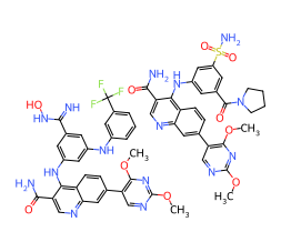 COc1ncc(-c2ccc3c(Nc4cc(C(=O)N5CCCC5)cc(S(N)(=O)=O)c4)c(C(N)=O)cnc3c2)c(OC)n1.COc1ncc(-c2ccc3c(Nc4cc(Nc5cccc(C(F)(F)F)c5)cc(C(=N)NO)c4)c(C(N)=O)cnc3c2)c(OC)n1